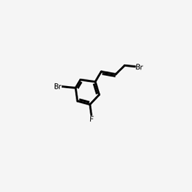 Fc1cc(Br)cc(C=CCBr)c1